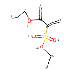 C=C(C(=O)OCC)S(=O)(=O)OCC